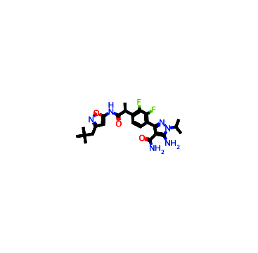 CC(C(=O)Nc1cc(CC(C)(C)C)no1)c1ccc(-c2nn(C(C)C)c(N)c2C(N)=O)c(F)c1F